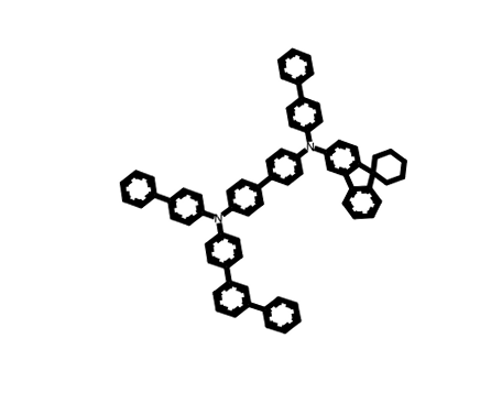 c1ccc(-c2ccc(N(c3ccc(-c4ccc(N(c5ccc(-c6ccccc6)cc5)c5ccc6c(c5)-c5ccccc5C65CCCCC5)cc4)cc3)c3ccc(-c4cccc(-c5ccccc5)c4)cc3)cc2)cc1